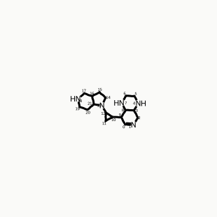 C1=NCC2NCCNC2C1C1CC1N1CCC2CNCCC21